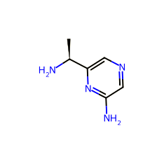 C[C@H](N)c1cncc(N)n1